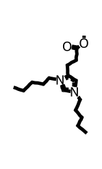 CCCCCn1cc(CCC(=O)OC)[n+](CCCCC)c1